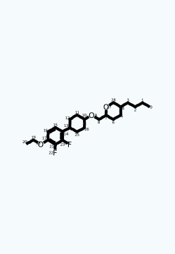 CCCCC1CCC(COC2CCC(c3ccc(OCC)c(F)c3F)CC2)OC1